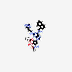 CCC(=O)N[C@H]1C[C@@H](n2cnc3c(NCc4cccc5ccccc45)nc(NCCc4c[nH]cn4)nc32)[C@H](OC(=O)C(F)(F)F)[C@@H]1O